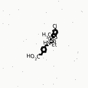 CCC(NCCc1ccc(CCC(=O)O)cc1)S(=O)(=O)c1sc2ccc(Cl)cc2c1C